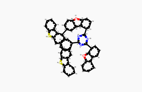 c1ccc(-c2nc(-c3cccc4c3oc3ccccc34)nc(-c3cccc4oc5ccc(-c6cc(-c7ccc8c(c7)sc7ccccc78)cc7sc8ccccc8c67)cc5c34)n2)cc1